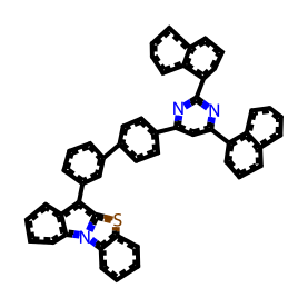 c1cc(-c2ccc(-c3cc(-c4cccc5ccccc45)nc(-c4cccc5ccccc45)n3)cc2)cc(-c2c3ccccc3n3c2sc2ccccc23)c1